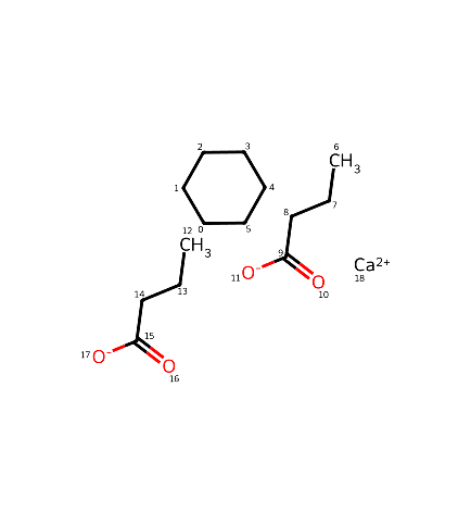 C1CCCCC1.CCCC(=O)[O-].CCCC(=O)[O-].[Ca+2]